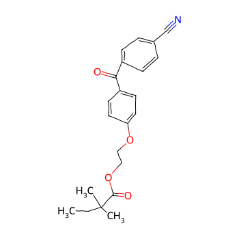 CCC(C)(C)C(=O)OCCOc1ccc(C(=O)c2ccc(C#N)cc2)cc1